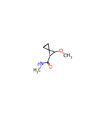 CNC(=O)C1C(OC)C12CC2